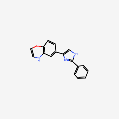 C1=COc2ccc(-c3c[nH]c(-c4ccccc4)n3)cc2N1